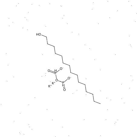 CCCCCCCCCCCCCCCO.O=[PH]([O-])O[PH](=O)[O-].[K+].[K+]